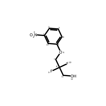 O=[N+]([O-])c1cccc(OCC(F)(F)CO)c1